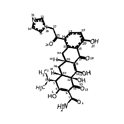 CN(C)[C@@H]1C(O)=C(C(N)=O)C(=O)[C@@]2(O)C(O)=C3C(=O)c4c(O)ccc(C(=O)Cn5ccnc5)c4C[C@H]3C[C@@H]12